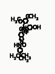 COc1ccc(CN(c2ccc(O)cc2F)S(=O)(=O)c2ccc3c(c2)CN(C(=O)Nc2ccc(C(C)(C)C)cc2)C3)c(OC)c1